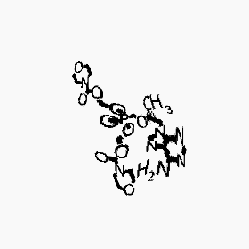 C[C@H](Cn1cnc2c(N)ncnc21)OCP(=O)(OCOC(=O)N1CCOCC1)OCOC(=O)N1CCOCC1